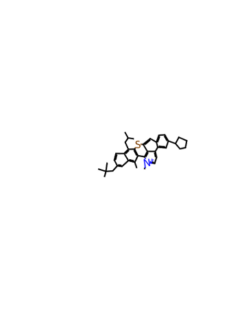 Cc1c2c(c(CC(C)C)c3ccc(CC(C)(C)C)cc13)Sc1cc3ccc(C4CCCC4)cc3c3cc[n+](C)c-2c13